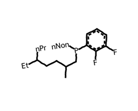 CCCCCCCCCP(CC(C)CCC(CC)CCC)c1cccc(F)c1F